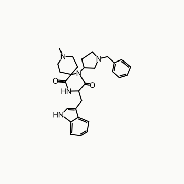 CN1CCC2(CC1)C(=O)NC(Cc1c[nH]c3ccccc13)C(=O)N2C1CCN(Cc2ccccc2)C1